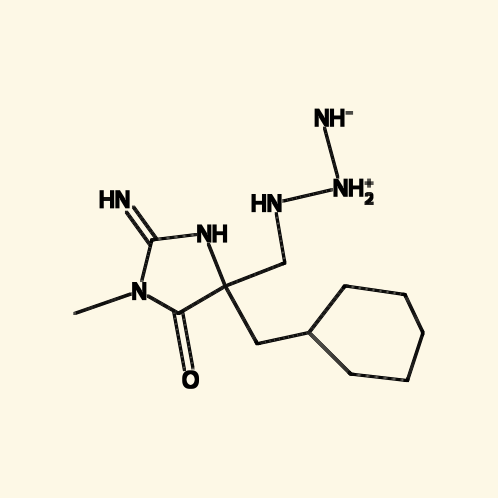 CN1C(=N)NC(CN[NH2+][NH-])(CC2CCCCC2)C1=O